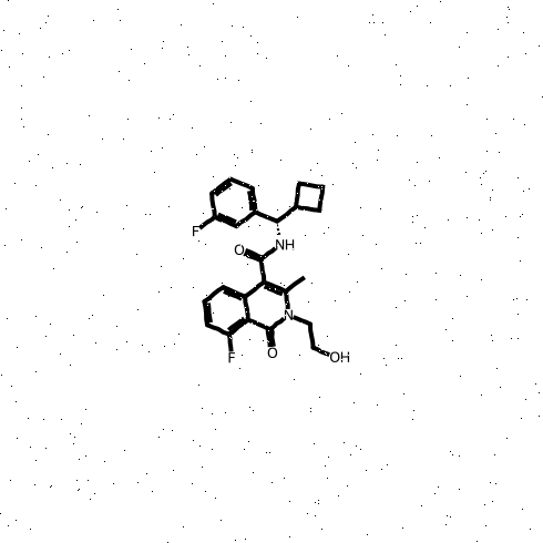 Cc1c(C(=O)N[C@H](c2cccc(F)c2)C2CCC2)c2cccc(F)c2c(=O)n1CCO